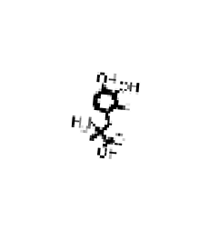 CC(N)(Cc1ccc(O)c(O)c1F)C(=O)O